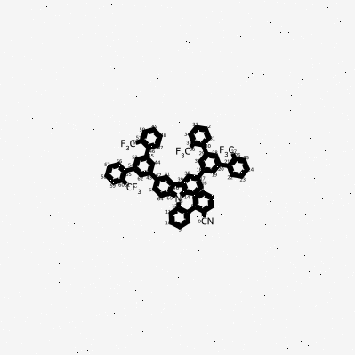 N#Cc1ccccc1-c1ccccc1-n1c2ccc(-c3cc(-c4ccccc4C(F)(F)F)cc(-c4ccccc4C(F)(F)F)c3)cc2c2cc(-c3cc(-c4ccccc4C(F)(F)F)cc(-c4ccccc4C(F)(F)F)c3)ccc21